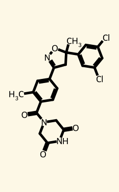 Cc1cc(C2=NOC(C)(c3cc(Cl)cc(Cl)c3)C2)ccc1C(=O)N1CC(=O)NC(=O)C1